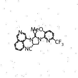 COc1ccc(C(F)(F)F)nc1N1C[C@@H](C#N)N(c2cncc3ccccc23)C1=O